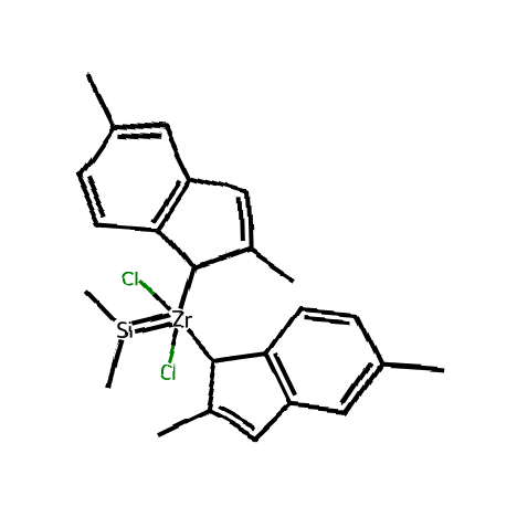 CC1=Cc2cc(C)ccc2[CH]1[Zr]([Cl])([Cl])([CH]1C(C)=Cc2cc(C)ccc21)=[Si](C)C